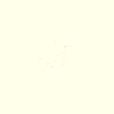 C=C(C)COCC(O)CF.CN(C)C